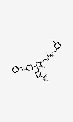 CC1(CCOC(=O)NCCc2cccc(I)c2)SC(c2ccc(OCc3ccccc3)cc2)N(c2cccc(C(N)=O)c2)C1=O